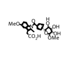 COc1ccc2c(c1)c(CC(=O)O)c(C)n2C(=O)c1ccc([C@H]2O[C@H](OC)[C@@H](O)[C@@H](O)[C@@H]2O)cc1